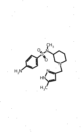 Cc1cc(CN2CCCC(N(C)S(=O)(=O)c3ccc(N)cc3)C2)n[nH]1